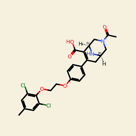 CC(=O)N1C[C@H]2CC(c3ccc(OCCOc4c(Cl)cc(C)cc4Cl)cc3)=C(C(=O)O)[C@@H](C1)N2